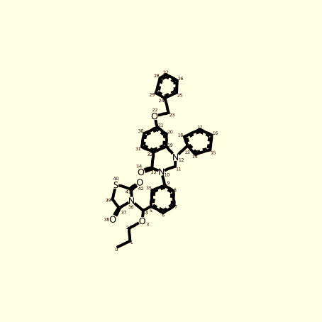 CCCOC(c1cccc(N2CN(c3ccccc3)c3cc(OCc4ccccc4)ccc3C2=O)c1)N1C(=O)CSC1=O